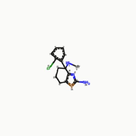 CCCNC1(c2ccccc2Cl)CCCc2sc(N)nc21